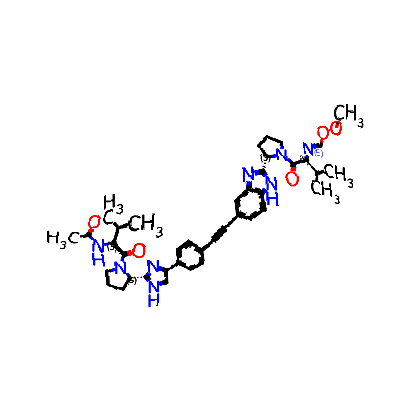 COO/C=N/[C@H](C(=O)N1CCC[C@H]1c1nc2cc(C#Cc3ccc(-c4c[nH]c([C@@H]5CCCN5C(=O)[C@@H](NC(C)=O)C(C)C)n4)cc3)ccc2[nH]1)C(C)C